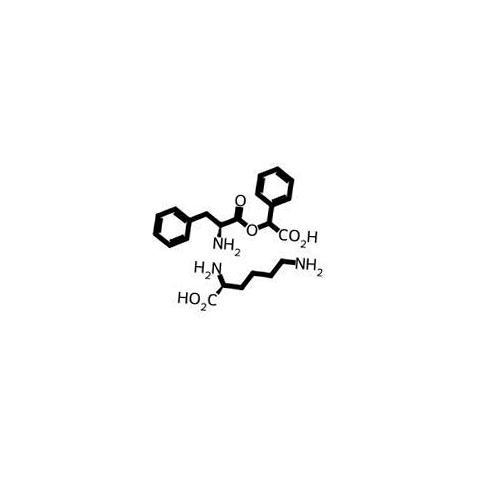 NCCCC[C@H](N)C(=O)O.N[C@@H](Cc1ccccc1)C(=O)OC(C(=O)O)c1ccccc1